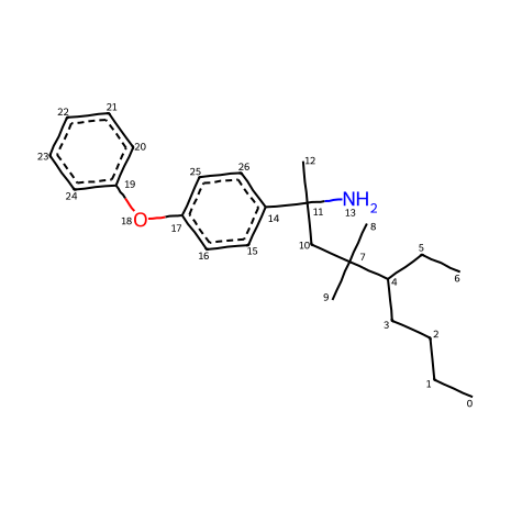 CCCCC(CC)C(C)(C)CC(C)(N)c1ccc(Oc2ccccc2)cc1